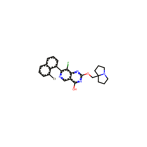 CCc1cccc2cccc(-c3ncc4c(O)nc(OCC56CCCN5CCC6)nc4c3F)c12